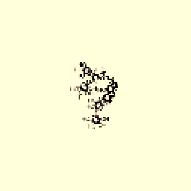 C[C@H](CC[C@@H](O[C@H]1C[C@@H](O)[C@H](O[C@@H]2OC[C@@H](O)[C@H](O)[C@H]2O)[C@@H](CO[C@@H]2O[C@H](CO)[C@@H](O)[C@H](O)[C@H]2O)O1)C(C)(C)O)C1CC[C@@]2(C)C3CC=C4C(CC[C@H](O[C@@H]5O[C@H](CO[C@@H]6O[C@H](CO)[C@@H](O)[C@H](O)[C@H]6O)[C@@H](O)[C@H](O)[C@H]5O)C4(C)C)[C@]3(C)[C@H](O)C[C@]12C